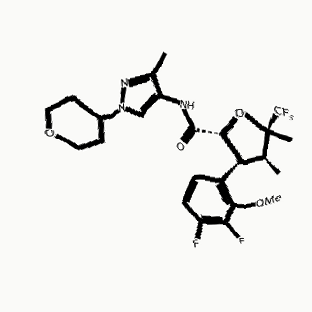 COc1c([C@H]2[C@H](C(=O)Nc3cn(C4CCOCC4)nc3C)O[C@@](C)(C(F)(F)F)[C@H]2C)ccc(F)c1F